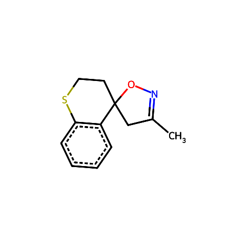 CC1=NOC2(CCSc3ccccc32)C1